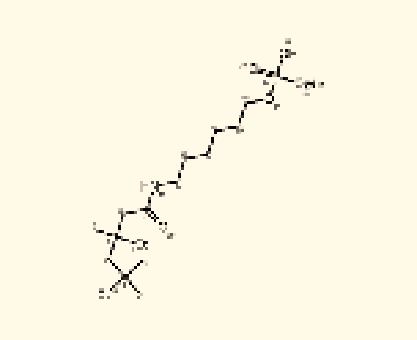 CCC(C)(C)CC(C)(CC)CC(=O)NCCCCCCOP(=O)(O)OC